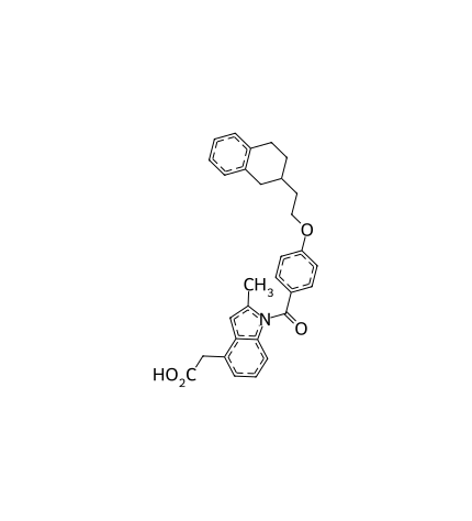 Cc1cc2c(CC(=O)O)cccc2n1C(=O)c1ccc(OCCC2CCc3ccccc3C2)cc1